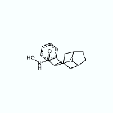 O=C(C=C1CC2CCC(C1)N2Cc1ccccc1)NO